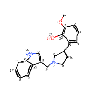 COc1cccc(C2CCN(Cc3c[nH]c4ccccc34)C2)c1O